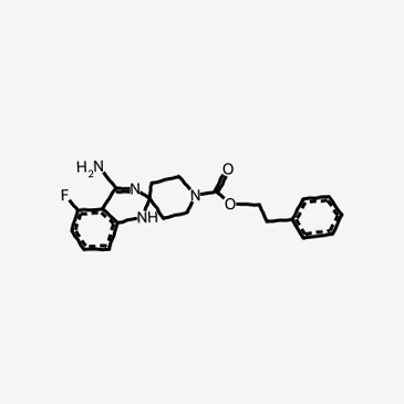 NC1=NC2(CCN(C(=O)OCCc3ccccc3)CC2)Nc2cccc(F)c21